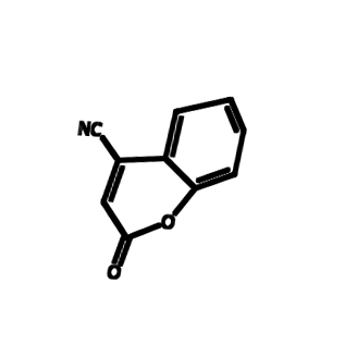 N#Cc1cc(=O)oc2ccccc12